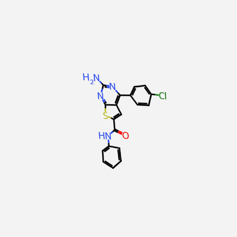 Nc1nc(-c2ccc(Cl)cc2)c2cc(C(=O)Nc3ccccc3)sc2n1